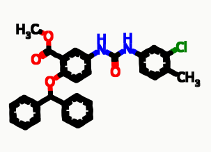 COC(=O)c1cc(NC(=O)Nc2ccc(C)c(Cl)c2)ccc1OC(c1ccccc1)c1ccccc1